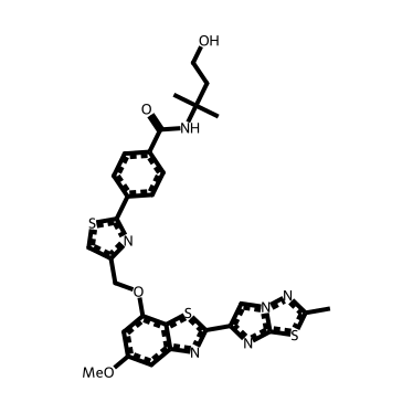 COc1cc(OCc2csc(-c3ccc(C(=O)NC(C)(C)CCO)cc3)n2)c2sc(-c3cn4nc(C)sc4n3)nc2c1